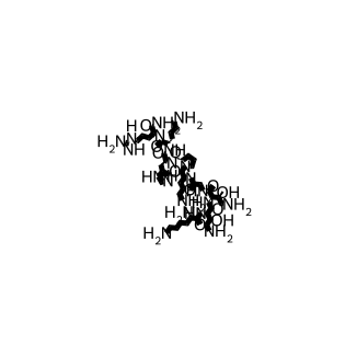 N=C(N)NCCC/C(=N\C(=O)[C@H](CCCCN)NC(=O)[C@H](Cc1cnc[nH]1)NC(=O)[C@@H]1CCCN1C(=O)/C(CCCN)=N/C(=O)CNC(=O)[C@@H](NC(=O)[C@@H](NC(=O)[C@@H](N)CCCCN)[C@@H](O)CN)[C@@H](O)CN)C(N)=O